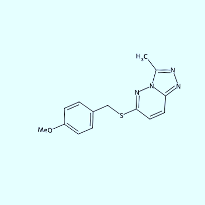 COc1ccc(CSc2ccc3nnc(C)n3n2)cc1